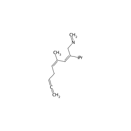 C=C=CC/C=C(C)\C=C(/CN=C)C(C)C